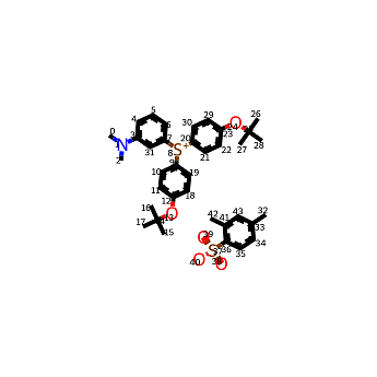 CN(C)c1cccc([S+](c2ccc(OC(C)(C)C)cc2)c2ccc(OC(C)(C)C)cc2)c1.Cc1ccc(S(=O)(=O)[O-])c(C)c1